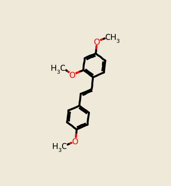 COc1ccc(C=Cc2ccc(OC)cc2OC)cc1